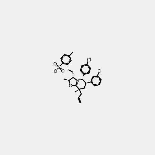 C=CC[C@@]1(C)C[C@H](c2cccc(Cl)c2)[C@@H](c2ccc(Cl)cc2)[N+]2=C1O[C@@H](C)[C@@H]2CC.Cc1ccc(S(=O)(=O)[O-])cc1